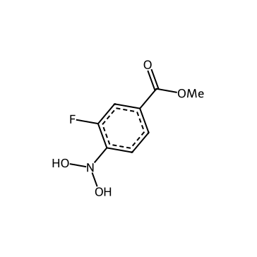 COC(=O)c1ccc(N(O)O)c(F)c1